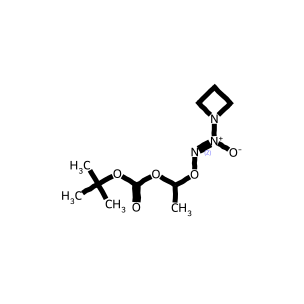 CC(O/N=[N+](\[O-])N1CCC1)OC(=O)OC(C)(C)C